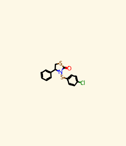 O=C1SCC(c2ccccc2)N1Sc1ccc(Cl)cc1